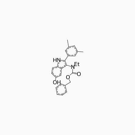 CCN(C(=O)OCc1ccccc1)c1c(-c2cc(C)cc(C)c2)[nH]c2ccc(O)cc12